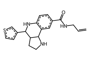 C=CCNC(=O)c1ccc2c(c1)C1NCCC1C(c1ccsc1)N2